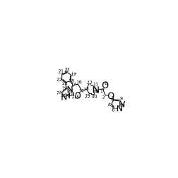 O=C(COc1ccnnc1)N1CCC(C(O)CC2c3ccccc3-c3cncn32)CC1